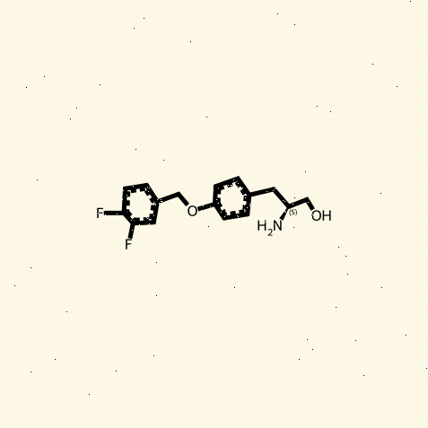 N[C@H](CO)Cc1ccc(OCc2ccc(F)c(F)c2)cc1